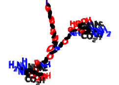 CC(=O)N[C@H]1[C@H]([C@H](OCC(=O)NCCCOCCN(CCOCCCNC(=O)CO[C@@H]([C@@H]2OC(C(=O)O)=C[C@H](NC(=N)N)[C@H]2NC(C)=O)[C@H](O)CO)C(=O)CCOCCOCCOCCOCI)[C@H](O)CO)OC(C(=O)O)=C[C@@H]1NC(=N)N